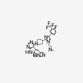 CN(C)CCn1cc(-c2ccc(F)c(C(F)(F)F)c2)nc1C1CCN(c2ncnc3c2C(=Cc2cnc[nH]2)C(=O)N3)CC1